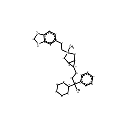 C[N+]1(CCc2ccc3c(c2)OCO3)CC2C(CCC(C#N)(c3ccccc3)C3CCCCC3)C2C1